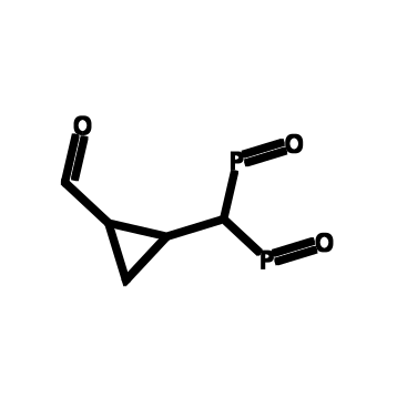 O=CC1CC1C(P=O)P=O